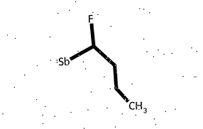 CCC[CH](F)[Sb]